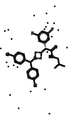 CC(C)CNC(=O)[C@@H](c1cc(F)cc(F)c1)C1CN(C(c2ccc(Cl)cc2)c2ccc(Cl)cc2)C1